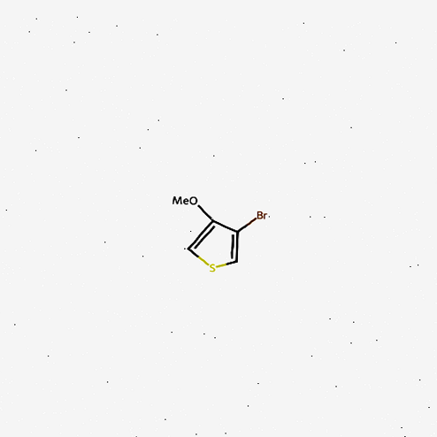 COc1[c]scc1Br